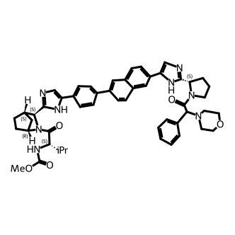 COC(=O)N[C@H](C(=O)N1[C@@H]2CC[C@@H](C2)[C@H]1c1ncc(-c2ccc(-c3ccc4cc(-c5cnc([C@@H]6CCCN6C(=O)C(c6ccccc6)N6CCOCC6)[nH]5)ccc4c3)cc2)[nH]1)C(C)C